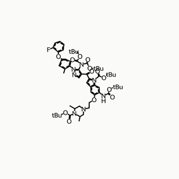 Cc1cc(Oc2ccccc2F)ccc1-n1ncc(C(=O)c2cc3cc(OCCN4CC(C)N(C(=O)OC(C)(C)C)C(C)C4)c(NC(=O)OC(C)(C)C)cc3n2C(=O)OC(C)(C)C)c1N(C(=O)OC(C)(C)C)C(=O)OC(C)(C)C